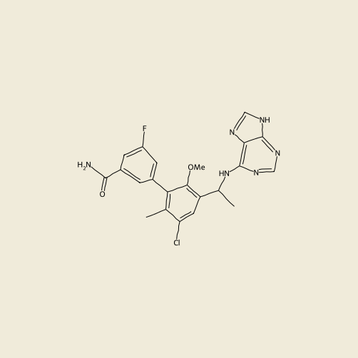 COc1c(C(C)Nc2ncnc3[nH]cnc23)cc(Cl)c(C)c1-c1cc(F)cc(C(N)=O)c1